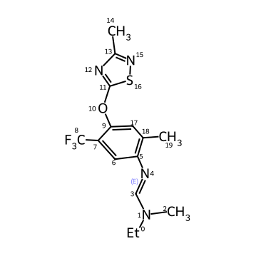 CCN(C)/C=N/c1cc(C(F)(F)F)c(Oc2nc(C)ns2)cc1C